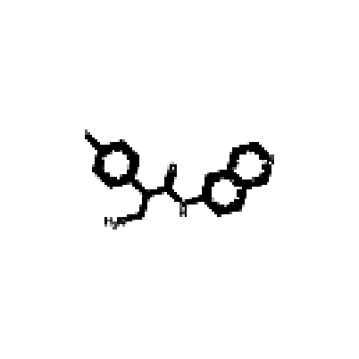 NCC(C(=O)Nc1ccc2cnccc2c1)c1ccc(I)cc1